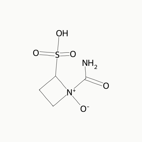 NC(=O)[N+]1([O-])CCC1S(=O)(=O)O